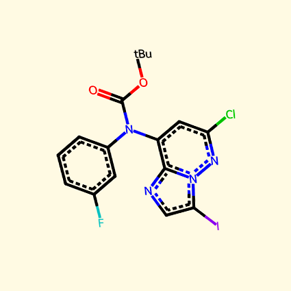 CC(C)(C)OC(=O)N(c1cccc(F)c1)c1cc(Cl)nn2c(I)cnc12